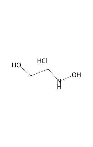 Cl.OCCNO